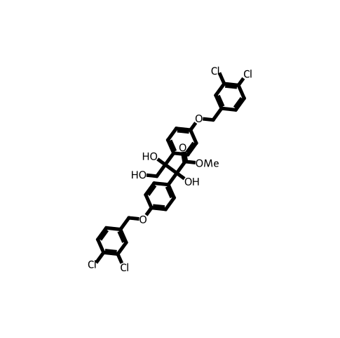 COC(=O)C(O)(c1ccc(OCc2ccc(Cl)c(Cl)c2)cc1)C(O)(CO)c1ccc(OCc2ccc(Cl)c(Cl)c2)cc1